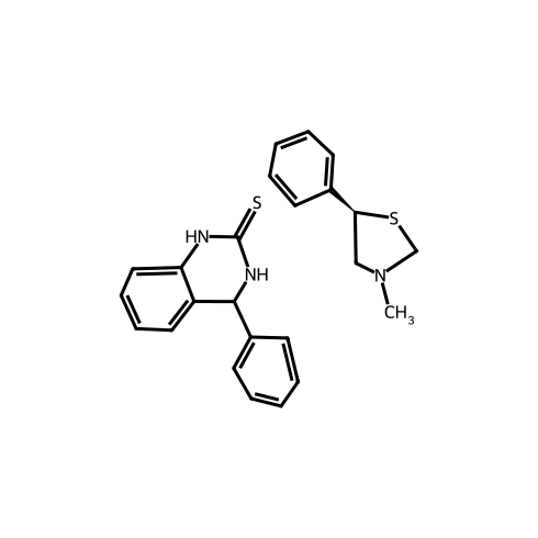 CN1CS[C@H](c2ccccc2)C1.S=C1Nc2ccccc2C(c2ccccc2)N1